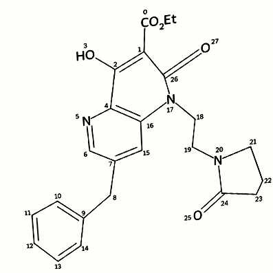 CCOC(=O)c1c(O)c2ncc(Cc3ccccc3)cc2n(CCN2CCCC2=O)c1=O